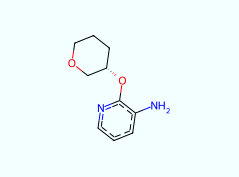 Nc1cccnc1O[C@H]1CCCOC1